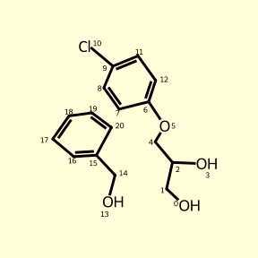 OCC(O)COc1ccc(Cl)cc1.OCc1ccccc1